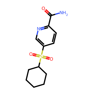 NC(=O)c1ccc(S(=O)(=O)C2CCCCC2)cn1